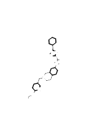 C[C@H](c1ccc(OCC(F)(F)F)nc1)N1CCc2ccc(S(=O)(=O)Nc3noc(-c4ccccc4)n3)cc2C1